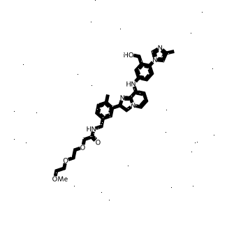 COCCOCCOCC(=O)NCc1ccc(C)c(C2CN3C=CC=C(Nc4ccc(-n5cnc(C)c5)c(CO)c4)C3=N2)c1